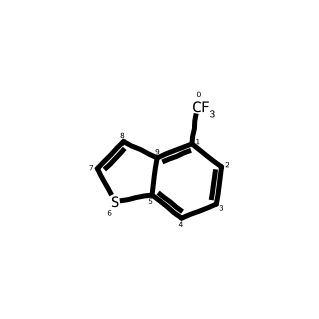 FC(F)(F)c1cccc2sc[c]c12